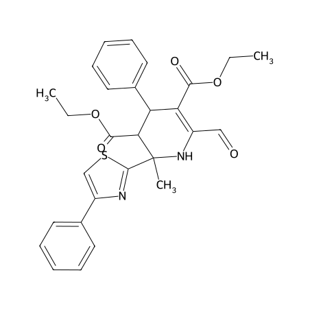 CCOC(=O)C1=C(C=O)NC(C)(c2nc(-c3ccccc3)cs2)C(C(=O)OCC)C1c1ccccc1